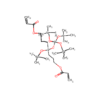 C=CC(=O)OCCC[Si](CCCOC(=O)C=C)(O[Si](C)(C)C)O[Si](O[Si](C)(C)C)(O[Si](C)(C)C)O[Si](C)(C)C